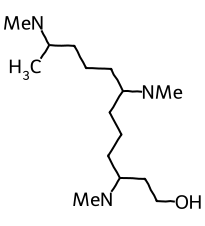 CNC(C)CCCC(CCCC(CCO)NC)NC